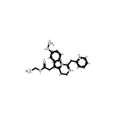 CCOC(=O)Cc1c2n(c3ccc(OC)cc13)C(Cc1ccccn1)=NCC2